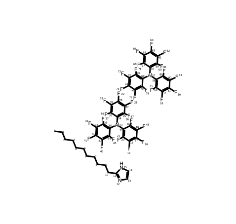 CCCCCCCCCCCc1ncc[nH]1.Fc1c(F)c(F)[c]([Al]([c]2c(F)c(F)c(F)c(F)c2F)[c]2c(F)c(F)c(F)c(F)c2F)c(F)c1F.Fc1c(F)c(F)[c]([Al]([c]2c(F)c(F)c(F)c(F)c2F)[c]2c(F)c(F)c(F)c(F)c2F)c(F)c1F